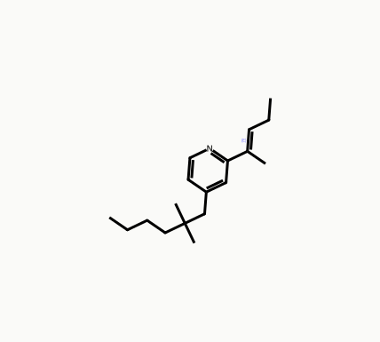 CC/C=C(\C)c1cc(CC(C)(C)CCCC)ccn1